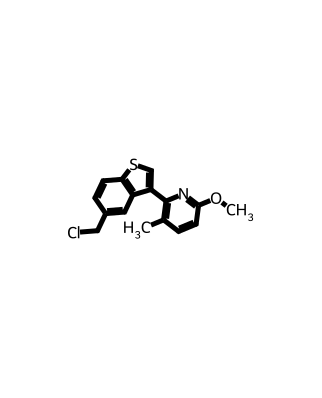 COc1ccc(C)c(-c2csc3ccc(CCl)cc23)n1